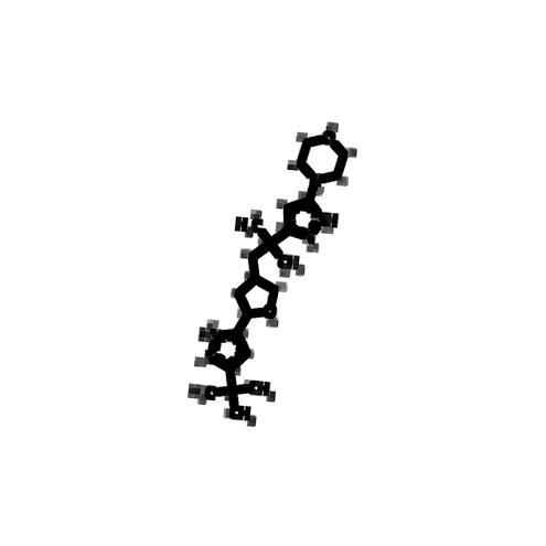 CC(C)(C)c1cc(C2CC(CC(C)(C)c3cc(N4CCOCC4)[nH]n3)CO2)[nH]n1